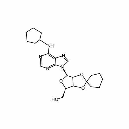 OC[C@H]1O[C@@H](n2cnc3c(NC4CCCCC4)ncnc32)C2OC3(CCCCC3)OC21